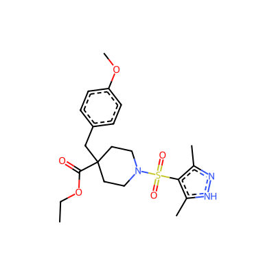 CCOC(=O)C1(Cc2ccc(OC)cc2)CCN(S(=O)(=O)c2c(C)n[nH]c2C)CC1